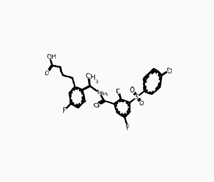 CC(NC(=O)c1cc(F)cc(S(=O)(=O)c2ccc(Cl)cc2)c1F)c1ccc(F)cc1CCCC(=O)O